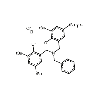 CC(C)(C)c1cc(CN(Cc2ccccn2)Cc2cc(C(C)(C)C)cc(C(C)(C)C)c2[O-])c([O-])c(C(C)(C)C)c1.[Cl-].[Cl-].[Ti+4]